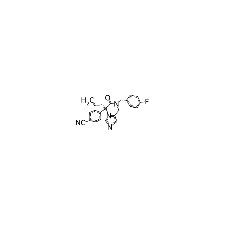 C=CC[C@]1(c2ccc(C#N)cc2)C(=O)N(Cc2ccc(F)cc2)Cc2cncn21